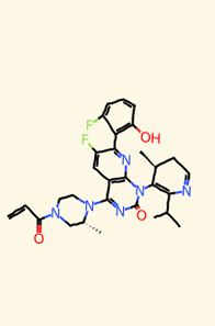 C=CC(=O)N1CCN(c2nc(=O)n(C3=C(C(C)C)N=CC[C@@H]3C)c3nc(-c4c(O)cccc4F)c(F)cc23)[C@H](C)C1